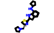 c1cc2c(c(NC3CCCC3)c1)NC(C1=N[C@H](CN3CCCC3)CS1)C2